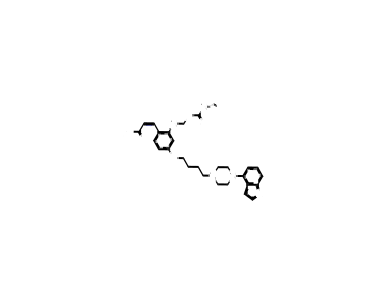 CONC(=O)OCNc1cc(OCCCCN2CCN(c3cccc4sccc34)CC2)ccc1/C=C\C(C)=O